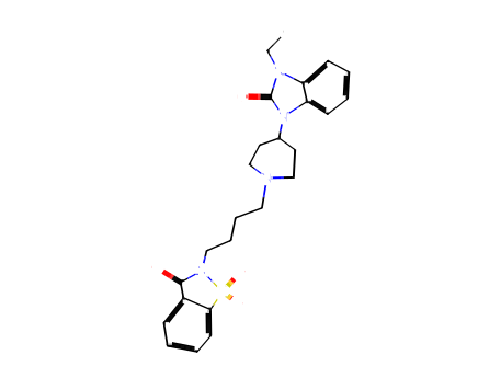 O=C1c2ccccc2S(=O)(=O)N1CCCCN1CCC(n2c(=O)n(CC(F)(F)F)c3ccccc32)CC1